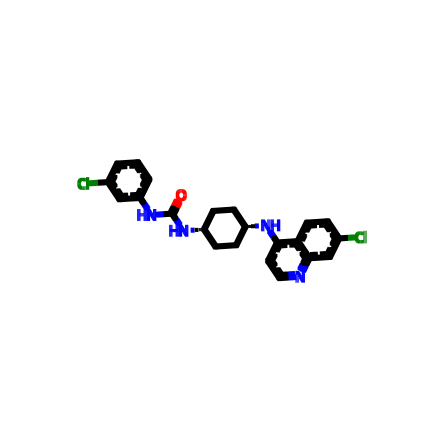 O=C(Nc1cccc(Cl)c1)N[C@H]1CC[C@@H](Nc2ccnc3cc(Cl)ccc23)CC1